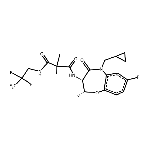 C[C@H]1Oc2ccc(F)cc2N(CC2CC2)C(=O)[C@H]1NC(=O)C(C)(C)C(=O)NCC(F)(F)C(F)(F)F